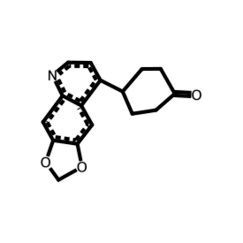 O=C1CCC(c2ccnc3cc4c(cc23)OCO4)CC1